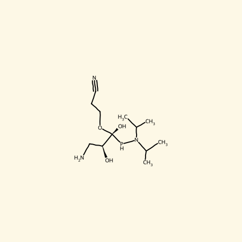 CC(C)N(P[C@@](O)(OCCC#N)[C@@H](O)CN)C(C)C